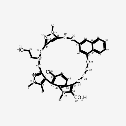 Cc1c2c(nn1C)CN(CCO)Cc1cc(n(C)n1)CSc1cc(c3ccccc3c1)OCCCc1c(C(=O)O)n(C)c3c-2c(Cl)ccc13